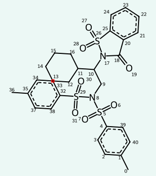 Cc1ccc(S(=O)(=O)N(CC(C2CCCCC2)N2C(=O)c3ccccc3S2(=O)=O)S(=O)(=O)c2ccc(C)cc2)cc1